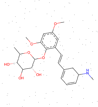 CNC1C=CC=C(/C=C/c2cc(OC)cc(OC)c2OC2OC(C)[C@@H](O)C(O)[C@H]2O)C1